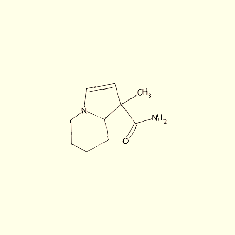 CC1(C(N)=O)C=CN2CCCCC21